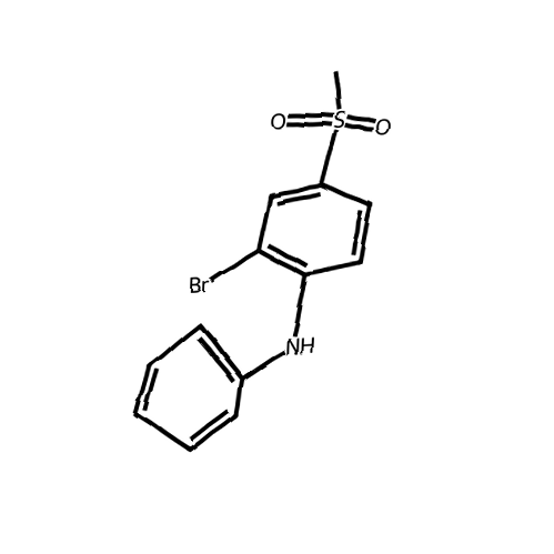 CS(=O)(=O)c1ccc(Nc2ccccc2)c(Br)c1